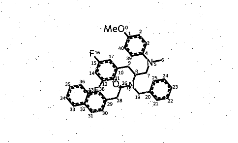 COc1ccc(N(C)CC(Cc2cc(F)cc(F)c2)N(Cc2ccccc2)C(=O)Cc2ccc3ccccc3c2)cc1